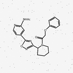 CC(=O)Nc1cc(-c2nc(C3CCCCN3C(=O)COc3ccccc3)no2)ccn1